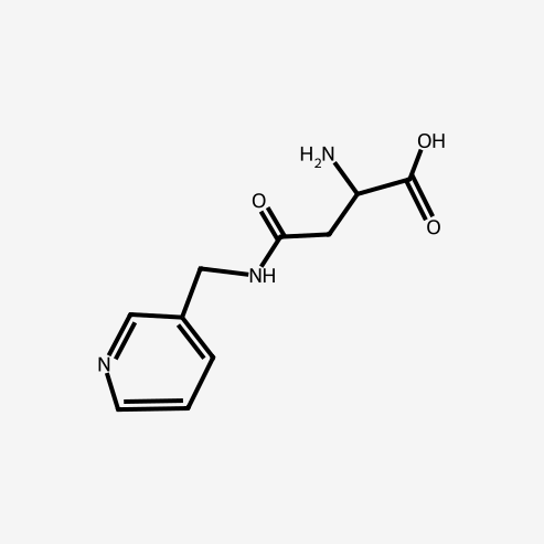 NC(CC(=O)NCc1cccnc1)C(=O)O